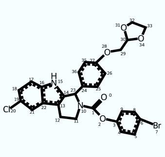 O=C(Oc1ccc(Br)cc1)N1CCc2c([nH]c3ccc(Cl)cc23)C1c1ccc(OCC2OCCO2)cc1